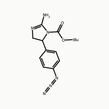 CC(C)(C)OC(=O)N1C(N)=NCC1c1ccc(N=[N+]=[N-])cc1